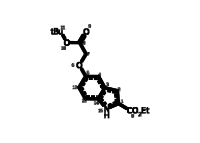 CCOC(=O)c1cc2cc(OCC(=O)OC(C)(C)C)ccc2[nH]1